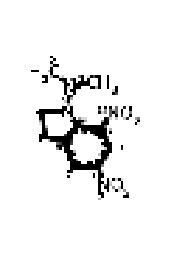 CN(C)N1CCc2cc([N+](=O)[O-])cc([N+](=O)[O-])c21